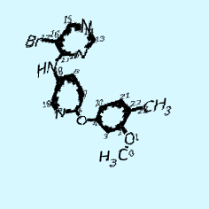 COc1cc(Oc2ccc(Nc3ncncc3Br)cn2)ccc1C